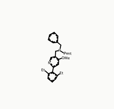 CCCC(C)N(Cc1ccccc1)Cc1cnc(-c2c(CC)cccc2CC)cc1OC